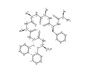 CC(C)[C@@H](N)C(=O)N[C@@H](Cc1ccccc1)C(=O)N[C@@H](C(=O)N[C@@H](C(=O)N[C@@H](C(=O)N[C@@H](Cc1ccccc1)C(=O)N[C@H](Cc1ccccc1)C(=O)O)C(C)C)C(C)C)C(C)C